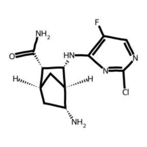 NC(=O)[C@H]1[C@H]2C[C@@H]([C@H]1Nc1nc(Cl)ncc1F)[C@H](N)C2